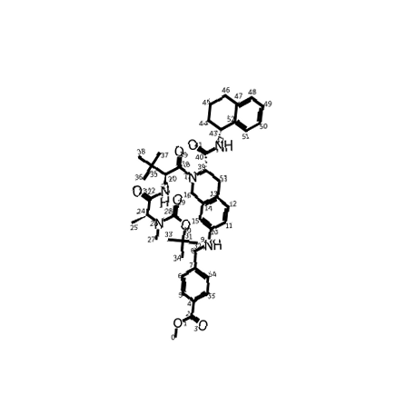 COC(=O)c1ccc(CNc2ccc3c(c2)CN(C(=O)[C@@H](NC(=O)[C@H](C)N(C)C(=O)OC(C)(C)C)C(C)(C)C)[C@H](C(=O)N[C@@H]2CCCc4ccccc42)C3)cc1